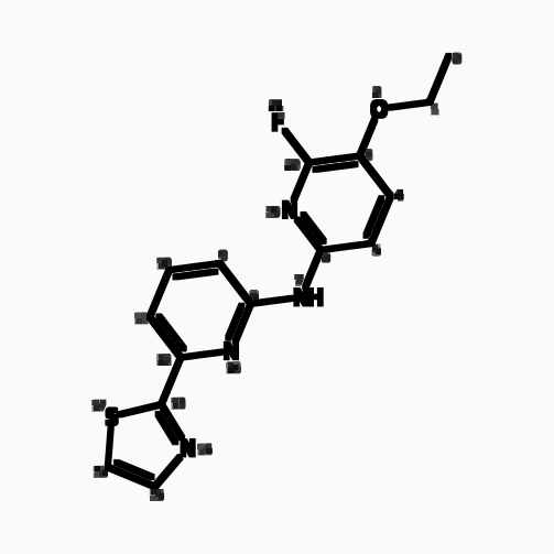 CCOc1ccc(Nc2cccc(-c3nccs3)n2)nc1F